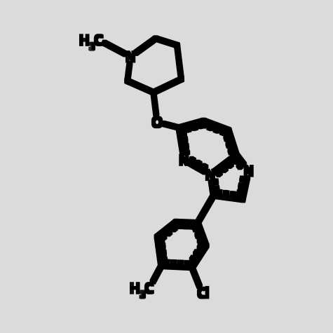 Cc1ccc(-c2cnc3ccc(OC4CCCN(C)C4)nn23)cc1Cl